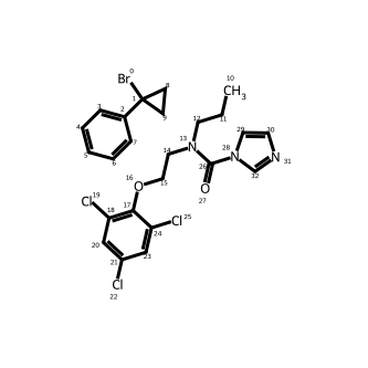 BrC1(c2ccccc2)CC1.CCCN(CCOc1c(Cl)cc(Cl)cc1Cl)C(=O)n1ccnc1